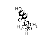 C[C@H]1CN(c2cnc3nc(O)ccc3c2Cl)C[C@H](C)N1C(=O)O